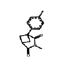 Cc1ccc(C23CC(C2)C(=O)N(C)C3=O)cc1